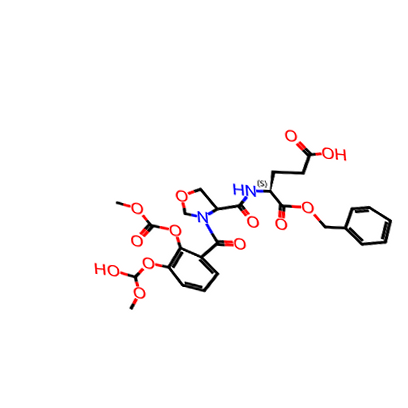 COC(=O)Oc1c(OC(O)OC)cccc1C(=O)N1COCC1C(=O)N[C@@H](CCC(=O)O)C(=O)OCc1ccccc1